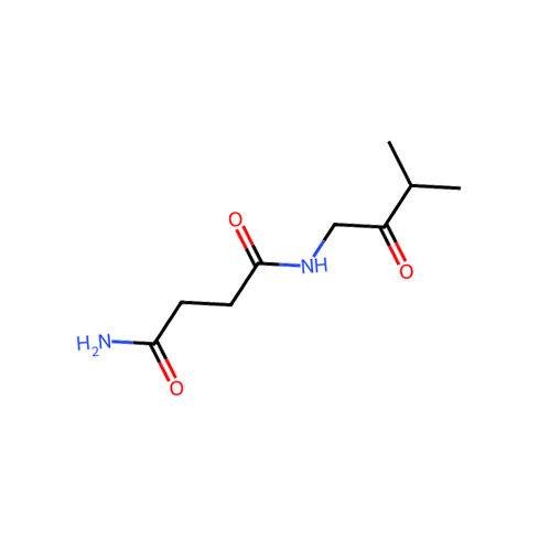 CC(C)C(=O)CNC(=O)CCC(N)=O